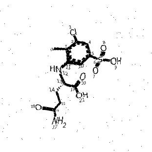 Cc1c(Cl)cc(S(=O)(=O)O)cc1N[C@@H](CCC(N)=O)C(=O)O